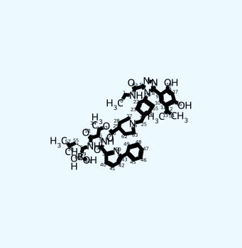 CCNC(=O)c1nnc(-c2cc(C(C)C)c(O)cc2O)n1-c1ccc(CN2CCC(C(=O)O[C@H](C)[C@H](NC(=O)c3cccc(-c4ccccc4)n3)C(=O)N[C@@H](CC(C)C)B(O)O)CC2)cc1